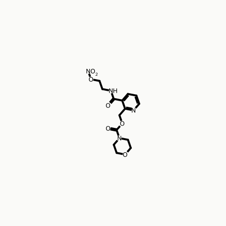 O=C(NCCO[N+](=O)[O-])c1cccnc1COC(=O)N1CCOCC1